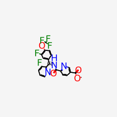 COC(=O)c1ccc(C(=O)N[C@@H](c2ccc(OC(F)(F)F)c(F)c2)c2ncccc2F)nc1